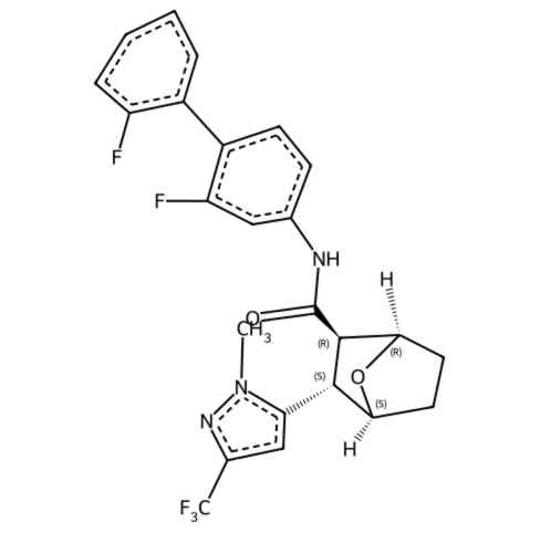 Cn1nc(C(F)(F)F)cc1[C@@H]1[C@@H](C(=O)Nc2ccc(-c3ccccc3F)c(F)c2)[C@H]2CC[C@@H]1O2